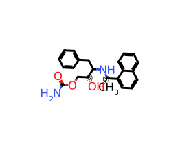 C[C@H](NC(Cc1ccccc1)[C@H](O)COC(N)=O)c1cccc2ccccc12